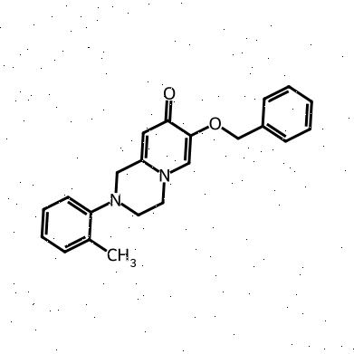 Cc1ccccc1N1CCn2cc(OCc3ccccc3)c(=O)cc2C1